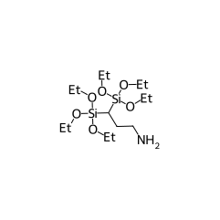 CCO[Si](OCC)(OCC)C(CCN)[Si](OCC)(OCC)OCC